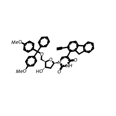 C#Cc1ccc2c(c1-c1cn([C@H]3C[C@H](O)[C@@H](COC(c4ccccc4)(c4ccc(OC)cc4)c4ccc(OC)cc4)O3)c(=O)[nH]c1=O)Cc1ccccc1-2